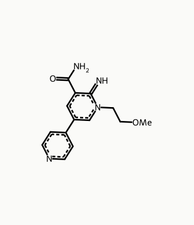 COCCn1cc(-c2ccncc2)cc(C(N)=O)c1=N